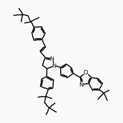 CC(C)(C)CC(C)(C)c1ccc(C=CC2=NN(c3ccc(-c4nc5cc(C(C)(C)C)ccc5o4)cc3)C(c3ccc(C(C)(C)CC(C)(C)C)cc3)C2)cc1